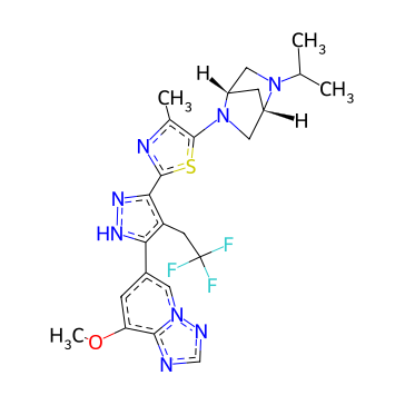 COc1cc(-c2[nH]nc(-c3nc(C)c(N4C[C@@H]5C[C@H]4CN5C(C)C)s3)c2CC(F)(F)F)cn2ncnc12